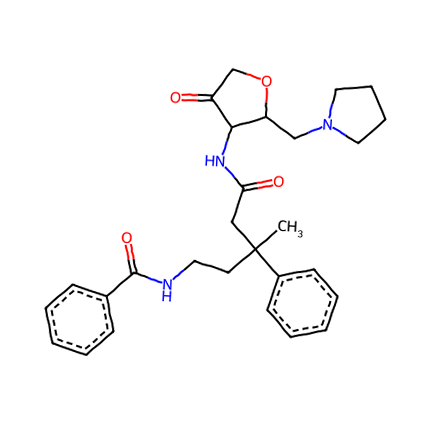 CC(CCNC(=O)c1ccccc1)(CC(=O)NC1C(=O)COC1CN1CCCC1)c1ccccc1